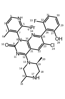 Cc1ccnc(C(C)C)c1-n1c(=O)nc(N2CC(C)NC[C@@H]2C)c2cc(Cl)c(-c3c(O)cccc3F)nc21